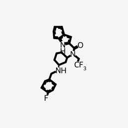 O=C(c1cc2ccccc2[nH]1)N(CC(F)(F)F)C1CCC[C@H](NCc2ccc(F)cc2)C1